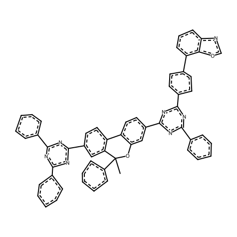 CC1(c2ccccc2)Oc2cc(-c3nc(-c4ccccc4)nc(-c4ccc(-c5cccc6ncoc56)cc4)n3)ccc2-c2ccc(-c3nc(-c4ccccc4)nc(-c4ccccc4)n3)cc21